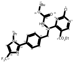 CCOC(=O)c1cnc(Cl)nc1N(Cc1ccc(-c2nc(C(F)(F)F)cn2C(C)C)cc1)NC(=O)OC(C)(C)C